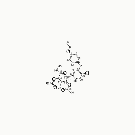 CCOc1ccc(Cc2cc([C@@H]3OC(CC)C(OC(C)=O)C(C)C3OC(C)=O)ccc2Cl)cc1